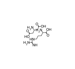 N=C(N)NCCC[C@@H](N)C(=O)O.NC(CC(=O)O)CC(=O)O